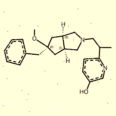 CO[C@@]1(Cc2ccccc2)C[C@H]2CN(CC(C)c3ccc(O)cn3)C[C@H]2C1